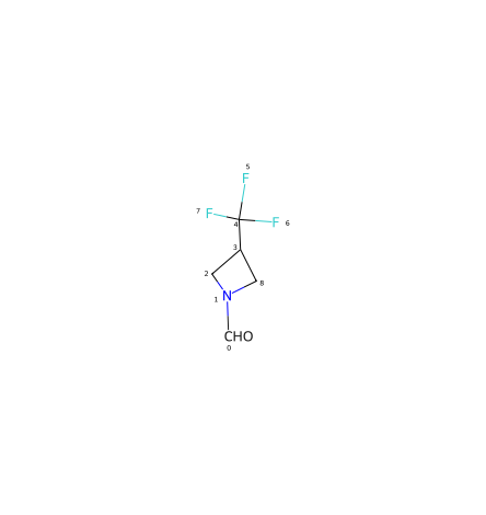 O=CN1CC(C(F)(F)F)C1